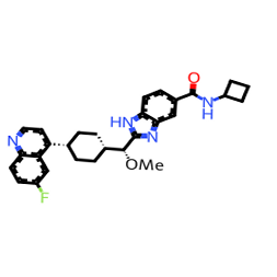 CO[C@@H](c1nc2cc(C(=O)NC3CCC3)ccc2[nH]1)[C@H]1CC[C@@H](c2ccnc3ccc(F)cc32)CC1